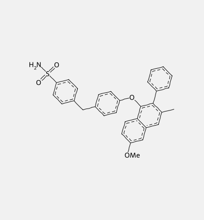 COc1ccc2c(Oc3ccc(Cc4ccc(S(N)(=O)=O)cc4)cc3)c(-c3ccccc3)c(C)cc2c1